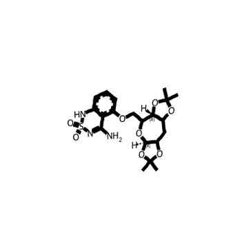 CC1(C)OC2CC3OC(C)(C)O[C@H]3C(COc3cccc4c3C(N)=NS(=O)(=O)N4)O[C@@H]2O1